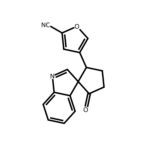 N#Cc1cc(C2CCC(=O)C23C=Nc2ccccc23)co1